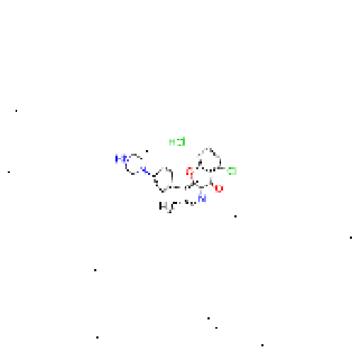 Cc1cnc2c(=O)c3c(Cl)cccc3oc2c1-c1ccc(N2CCNCC2)cc1.Cl